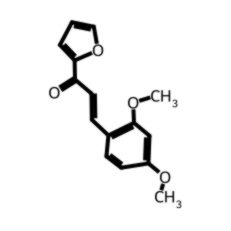 COc1ccc(C=CC(=O)c2ccco2)c(OC)c1